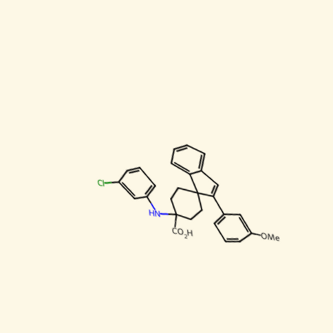 COc1cccc(C2=Cc3ccccc3C23CCC(Nc2cccc(Cl)c2)(C(=O)O)CC3)c1